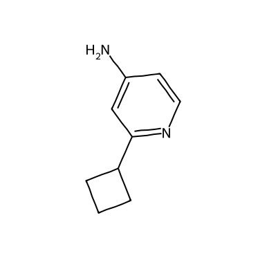 Nc1ccnc(C2CCC2)c1